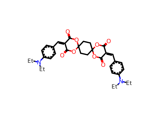 CCN(CC)c1ccc(C=C2C(=O)OC3(CCC4(CC3)OC(=O)C(=Cc3ccc(N(CC)CC)cc3)C(=O)O4)OC2=O)cc1